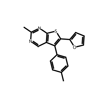 Cc1ccc(-c2c(-c3ccco3)sc3nc(C)n[c]c23)cc1